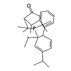 CC(C)C1=CC(C(C)C)(P2C(C)(C)CC(=O)CC2(C)C)C(c2ccccc2C(C)C)C=C1